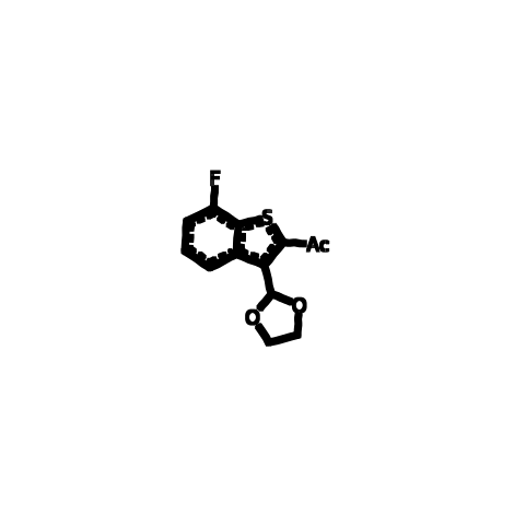 CC(=O)c1sc2c(F)cccc2c1C1OCCO1